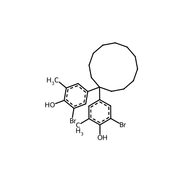 Cc1cc(C2(c3cc(C)c(O)c(Br)c3)CCCCCCCCCCC2)cc(Br)c1O